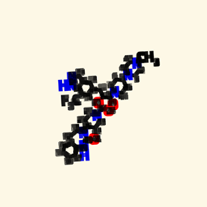 CN1CCN(C2CCN(C(=O)C(Cc3cc(C(F)(F)F)c4[nH]ncc4c3)OC(=O)N3CCC(N4CCc5ccccc5NC4=O)CC3)CC2)CC1